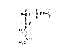 CCCNC.FC(F)F.F[B-](F)(F)F.F[B-](F)(F)F.F[B-](F)(F)F